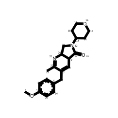 COc1ccc(CC2=CC3C(=O)N(C4CCOCC4)CC3N=C2C)cc1